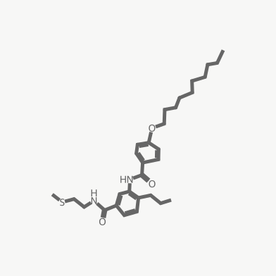 CCCCCCCCCCOc1ccc(C(=O)Nc2cc(C(=O)NCCSC)ccc2CCC)cc1